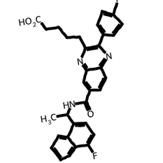 CC(NC(=O)c1ccc2nc(-c3ccc(F)cc3)c(CCCCC(=O)O)nc2c1)c1ccc(F)c2ccccc12